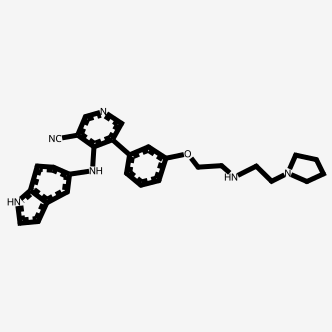 N#Cc1cncc(-c2cccc(OCCNCCN3CCCC3)c2)c1Nc1ccc2[nH]ccc2c1